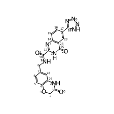 O=C1COc2ccc(CNC(=O)c3nc4ccc(-c5nnn[nH]5)cc4c(=O)[nH]3)cc2N1